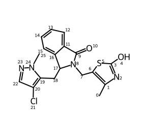 Cc1nc(O)sc1CN1C(=O)c2ccccc2C1Cc1c(Cl)cnn1C